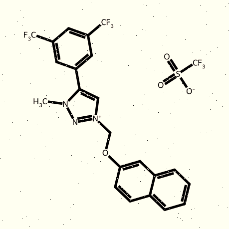 Cn1n[n+](COc2ccc3ccccc3c2)cc1-c1cc(C(F)(F)F)cc(C(F)(F)F)c1.O=S(=O)([O-])C(F)(F)F